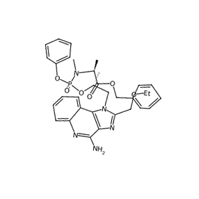 CCOCc1nc2c(N)nc3ccccc3c2n1C[C@@H](C)OP(=O)(Oc1ccccc1)N(C)[C@@H](C)C(=O)OCc1ccccc1